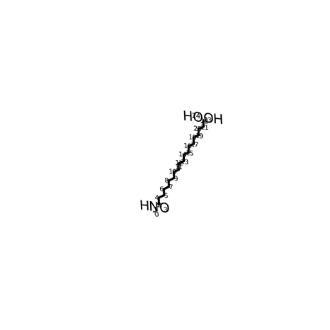 CNC(=O)CCCCCCCCCCCCCCCCCCC(O)O